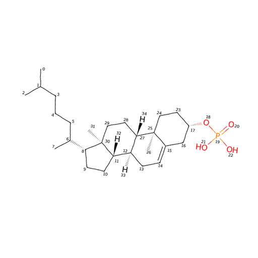 CC(C)CCCC(C)[C@H]1CC[C@H]2[C@@H]3CC=C4C[C@@H](OP(=O)(O)O)CC[C@]4(C)[C@H]3CC[C@]12C